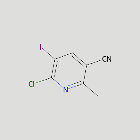 Cc1nc(Cl)c(I)cc1C#N